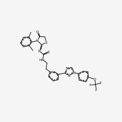 Cc1cccc(C)c1N1C(=O)CS/C1=N\C(=S)NCCc1cccc(-c2ncn(-c3ccc(OC(F)(F)F)cc3)n2)c1